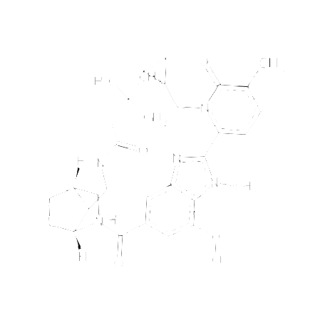 COc1cc(C(=O)N2C[C@H]3CC[C@@H]2[C@@H]3CNC(=O)OC(C)(C)C)cc2nc(-c3ccc(C)c(=O)n3CC3CC3)n(C)c12